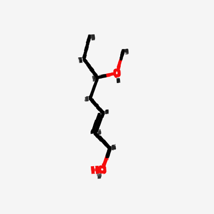 CCC(C/C=C/CO)OC